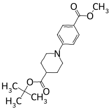 COC(=O)c1ccc(N2CCC(C(=O)OC(C)(C)C)CC2)cc1